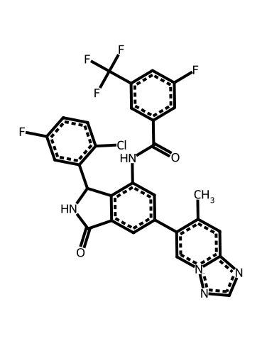 Cc1cc2ncnn2cc1-c1cc(NC(=O)c2cc(F)cc(C(F)(F)F)c2)c2c(c1)C(=O)NC2c1cc(F)ccc1Cl